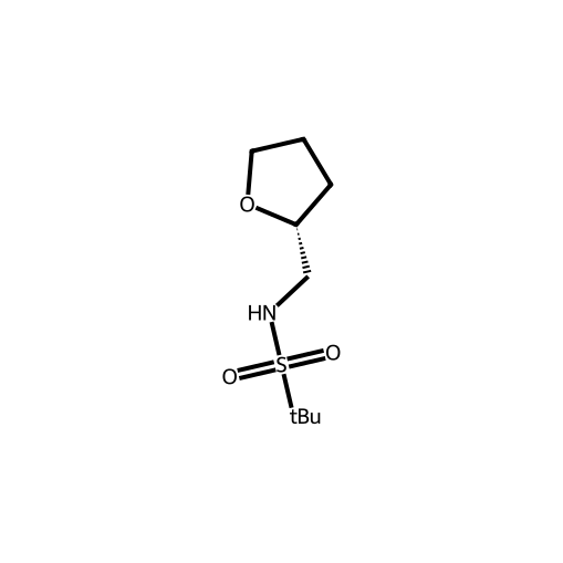 CC(C)(C)S(=O)(=O)NC[C@H]1CCCO1